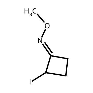 CON=C1C[CH]C1I